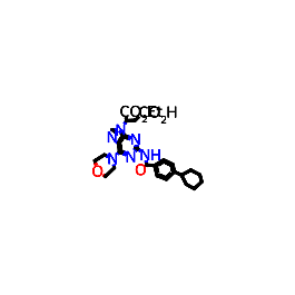 CCOC(=O)C(CC(=O)O)n1cnc2c(N3CCOCC3)nc(NC(=O)c3ccc(C4CCCCC4)cc3)nc21